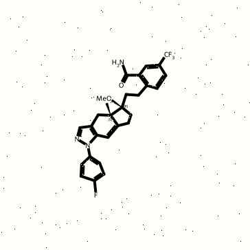 CO[C@@]1(CCc2ccc(C(F)(F)F)cc2C(N)=O)CCC2=Cc3c(cnn3-c3ccc(F)cc3)C[C@@]21C